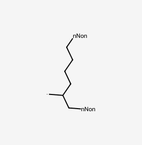 [CH2]C(CCCCCCCCCC)CCCCCCCCCCCCC